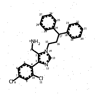 NCc1c(-c2ccc(Cl)cc2Cl)ncn1CCC(c1ccccc1)c1ccccc1